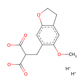 COc1cc2c(cc1CC(C(=O)[O-])C(=O)[O-])OCC2.[H+].[H+]